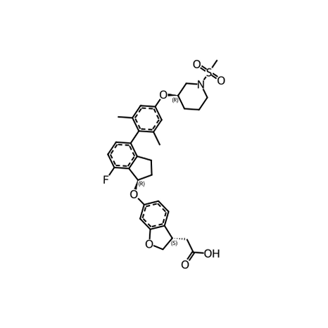 Cc1cc(O[C@@H]2CCCN(S(C)(=O)=O)C2)cc(C)c1-c1ccc(F)c2c1CC[C@H]2Oc1ccc2c(c1)OC[C@H]2CC(=O)O